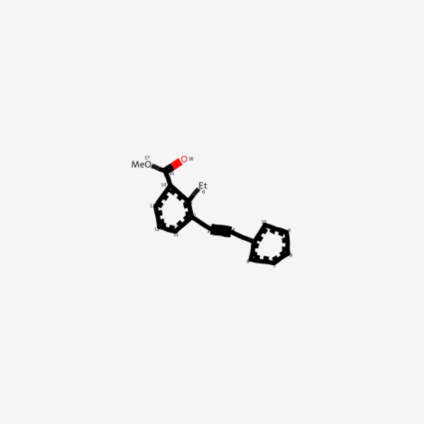 CCc1c(C#Cc2ccccc2)cccc1C(=O)OC